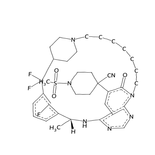 C[C@H]1Nc2ncnc3c2cc(C2(C#N)CCN(S(C)(=O)=O)CC2)c(=O)n3CCCCCCCN2CCC(CC2)C(F)(F)c2cccc1c2F